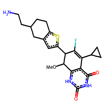 COC1c2[nH]c(=O)[nH]c(=O)c2C(C2CC2)=C(F)C1c1cc2c(s1)CCC(CCN)C2